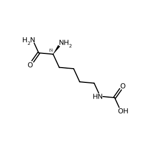 NC(=O)[C@@H](N)CCCCNC(=O)O